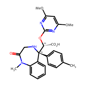 COc1cc(OC)nc(O[C@H](C(=O)O)[C@@]2(c3ccc(C)cc3)NCC(=O)N(C)c3ccccc32)n1